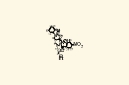 CCOCOC[C@H](C[C@H](Cn1nnc2ccccc21)C(=O)NO)NC(=O)c1ccc([N+](=O)[O-])cc1